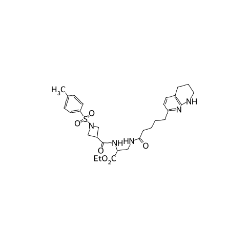 CCOC(=O)C(CNC(=O)CCCCc1ccc2c(n1)NCCC2)NC(=O)C1CN(S(=O)(=O)c2ccc(C)cc2)C1